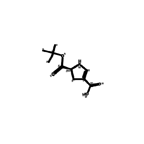 CC(C)(C)OC(=O)[C@@H]1CC(C(=O)O)=CN1